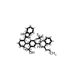 CCCC(NC(=O)c1ccc(C2C(c3nc4ccccc4[nH]3)=CC=C[C@@H]2Cl)c(C(=O)O)c1)c1ccccc1OC(F)(F)F